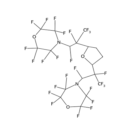 FC(N1C(F)(F)C(F)(F)OC(F)(F)C1(F)F)C(F)(C1CCC(C(F)(C(F)N2C(F)(F)C(F)(F)OC(F)(F)C2(F)F)C(F)(F)F)O1)C(F)(F)F